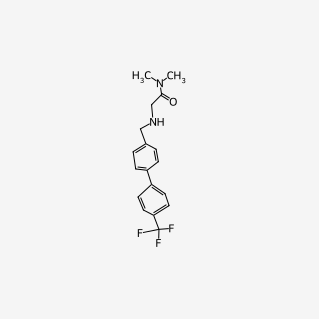 CN(C)C(=O)CNCc1ccc(-c2ccc(C(F)(F)F)cc2)cc1